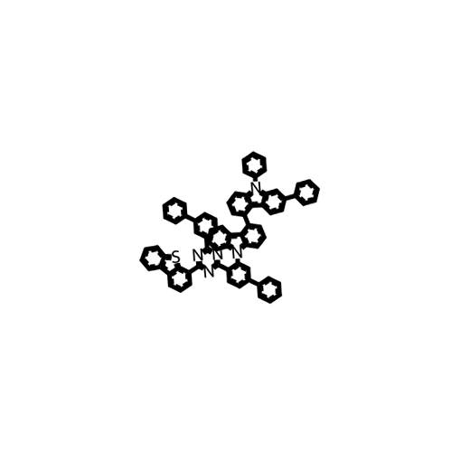 c1ccc(-c2cccc(-c3nc(-c4ccc(-c5ccccc5)cc4-n4c5ccccc5c5c(-c6cccc7c6c6ccc(-c8ccccc8)cc6n7-c6ccccc6)cccc54)nc(-c4cccc5c4sc4ccccc45)n3)c2)cc1